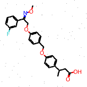 CO/N=C(\COc1ccc(COc2ccc(C(C)CC(=O)O)cc2)cc1)c1cccc(F)c1